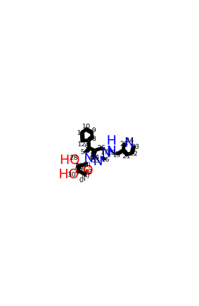 C[C@H]1O[C@@H](n2cc(-c3ccccc3)c3c2N=CN(NCc2cccnc2)C3)[C@H](O)[C@@H]1O